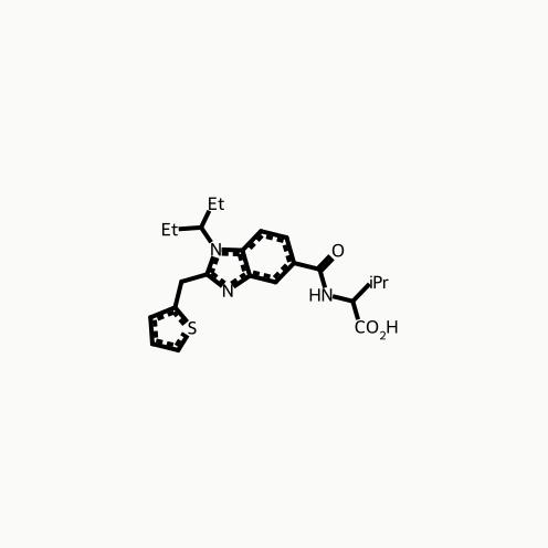 CCC(CC)n1c(Cc2cccs2)nc2cc(C(=O)NC(C(=O)O)C(C)C)ccc21